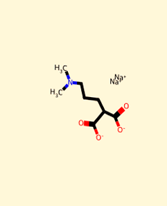 CN(C)CCCC(C(=O)[O-])C(=O)[O-].[Na+].[Na+]